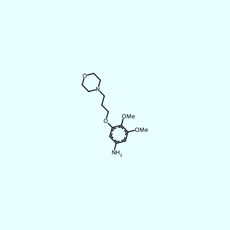 COc1cc(N)cc(OCCCN2CCOCC2)c1OC